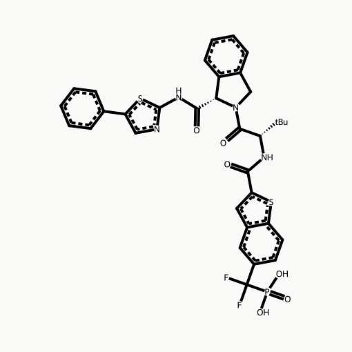 CC(C)(C)[C@H](NC(=O)c1cc2cc(C(F)(F)P(=O)(O)O)ccc2s1)C(=O)N1Cc2ccccc2[C@H]1C(=O)Nc1ncc(-c2ccccc2)s1